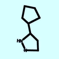 C1CCC(C2CC[N]N2)C1